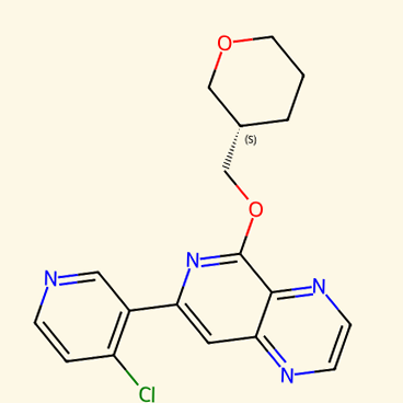 Clc1ccncc1-c1cc2nccnc2c(OC[C@H]2CCCOC2)n1